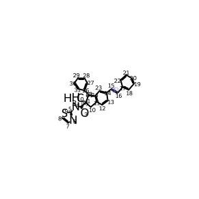 C[C@@]1(C(=O)Nc2nccs2)Cc2ccc(/C=C/c3ccccc3)cc2[C@@H]1c1ccccc1